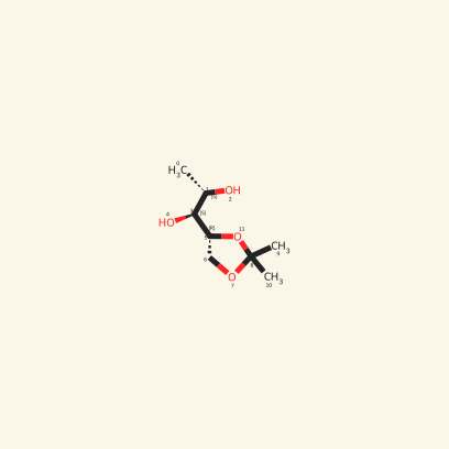 C[C@H](O)[C@H](O)[C@H]1COC(C)(C)O1